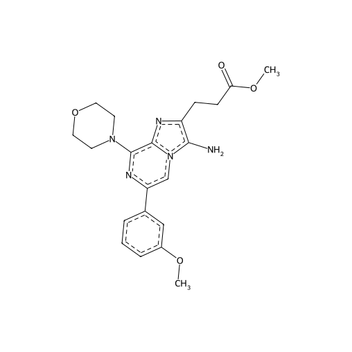 COC(=O)CCc1nc2c(N3CCOCC3)nc(-c3cccc(OC)c3)cn2c1N